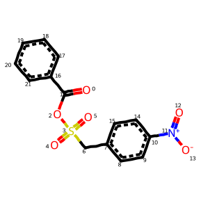 O=C(OS(=O)(=O)Cc1ccc([N+](=O)[O-])cc1)c1ccccc1